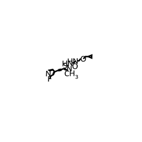 Cc1nc(NC(=O)NCCOCC2CC2)sc1C#Cc1ccnc(F)c1